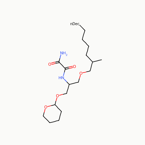 CCCCCCCCCCCCCCC(C)COCC(COC1CCCCO1)NC(=O)C(N)=O